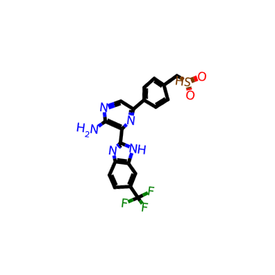 Nc1ncc(-c2ccc(C[SH](=O)=O)cc2)nc1-c1nc2ccc(C(F)(F)F)cc2[nH]1